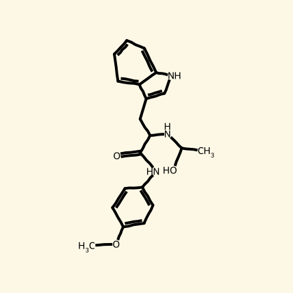 COc1ccc(NC(=O)C(Cc2c[nH]c3ccccc23)NC(C)O)cc1